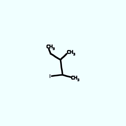 [C]C(C)C(C)CC